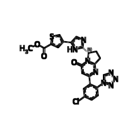 COC(=O)c1cc(-c2cnc([C@@H]3CCc4nc(-c5cc(Cl)ccc5-n5cnnn5)cc(=O)n43)[nH]2)cs1